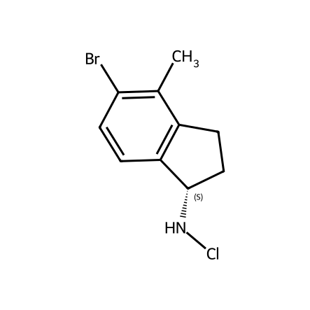 Cc1c(Br)ccc2c1CC[C@@H]2NCl